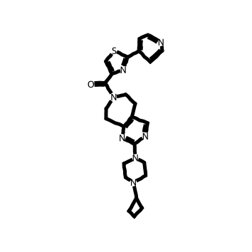 O=C(c1csc(-c2ccncc2)n1)N1CCc2cnc(N3CCN(C4CCC4)CC3)nc2CC1